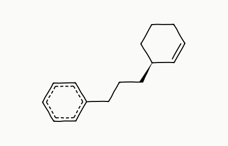 C1=C[C@@H](CCCc2ccccc2)CCC1